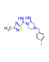 Cc1nsc(C(=N)N2CCN(Cc3ccc(F)cc3)CC2=N)n1